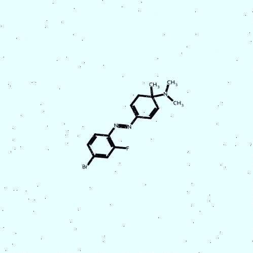 CN(C)C1(C)C=CC(/N=N/c2ccc(Br)cc2F)=CC1